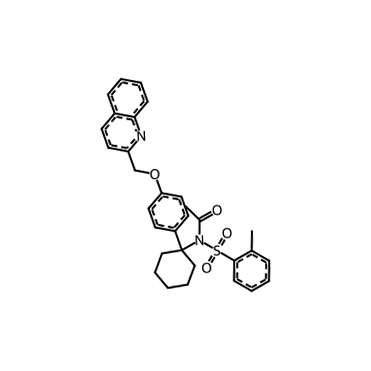 CC(=O)N(C1(c2ccc(OCc3ccc4ccccc4n3)cc2)CCCCC1)S(=O)(=O)c1ccccc1C